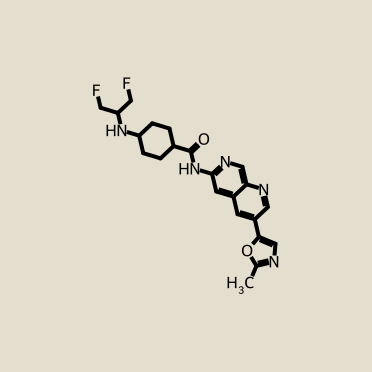 Cc1ncc(-c2cnc3cnc(NC(=O)C4CCC(NC(CF)CF)CC4)cc3c2)o1